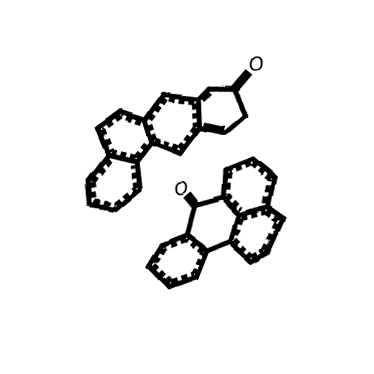 O=C1C=c2cc3ccc4ccccc4c3cc2=CC1.O=C1c2ccccc2-c2cccc3cccc1c23